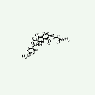 CCn1c(NC(=O)c2cnc(N)nc2)nc2c(OC)c(OCCC(N)=O)ccc2c1=O